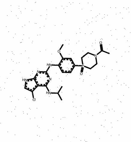 COc1cc(P2(=O)CCN(C(C)=O)CC2)ccc1Nc1nc(NC(C)C)c2c(Cl)c[nH]c2n1